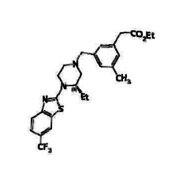 CCOC(=O)Cc1cc(C)cc(CN2CCN(c3nc4ccc(C(F)(F)F)cc4s3)[C@H](CC)C2)c1